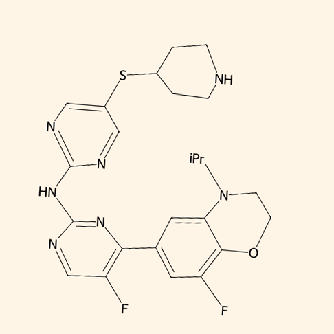 CC(C)N1CCOc2c(F)cc(-c3nc(Nc4ncc(SC5CCNCC5)cn4)ncc3F)cc21